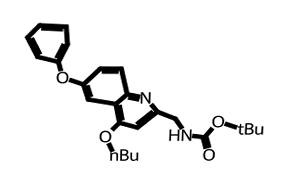 CCCCOc1cc(CNC(=O)OC(C)(C)C)nc2ccc(Oc3ccccc3)cc12